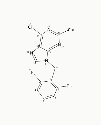 Fc1cccc(F)c1Cn1cnc2c(Cl)nc(Cl)nc21